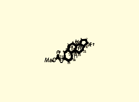 CC[C@H]1CC[C@H]2[C@@H]3CC=C4CC(OC(=O)OC)CC[C@]4(C)[C@H]3CC[C@]12C